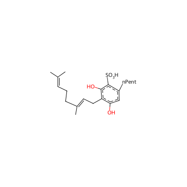 CCCCCc1cc(O)c(C/C=C(\C)CCC=C(C)C)c(O)c1S(=O)(=O)O